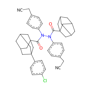 N#CCc1ccc(N(C(=O)C23CC4CC(CC(C4)C2)C3)N(C(=O)C23CC4CC(C2)CC(c2ccc(Cl)cc2)(C4)C3)c2ccc(CC#N)cc2)cc1